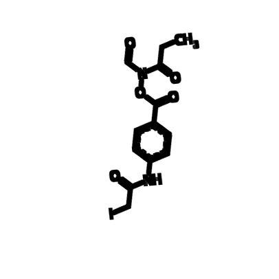 CCC(=O)N(C=O)OC(=O)c1ccc(NC(=O)CI)cc1